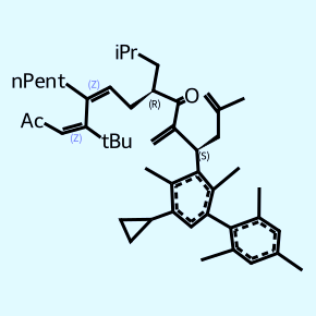 C=C(C)C[C@H](C(=C)C(=O)[C@@H](C/C=C(CCCCC)\C(=C/C(C)=O)C(C)(C)C)CC(C)C)c1c(C)c(-c2c(C)cc(C)cc2C)cc(C2CC2)c1C